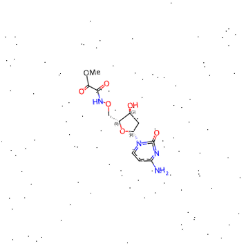 COC(=O)C(=O)NOC[C@H]1O[C@@H](n2ccc(N)nc2=O)C[C@@H]1O